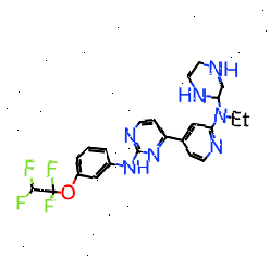 CCN(c1cc(-c2ccnc(Nc3cccc(OC(F)(F)C(F)F)c3)n2)ccn1)C1CNCCN1